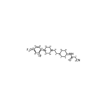 N#CCC(=O)NC1CCC(CCN2CCN(c3ccc(C(F)(F)F)cc3F)CC2)CC1